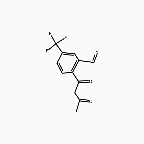 CC(=O)CC(=O)c1ccc(C(F)(F)F)cc1C=S